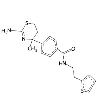 CC1(c2ccc(C(=O)NCCc3cccs3)cc2)CCSC(N)=N1